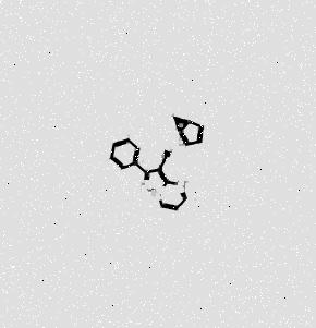 C#Cc1c(-c2ccccc2)nn2cccnc12.c1cc2cc-2c1